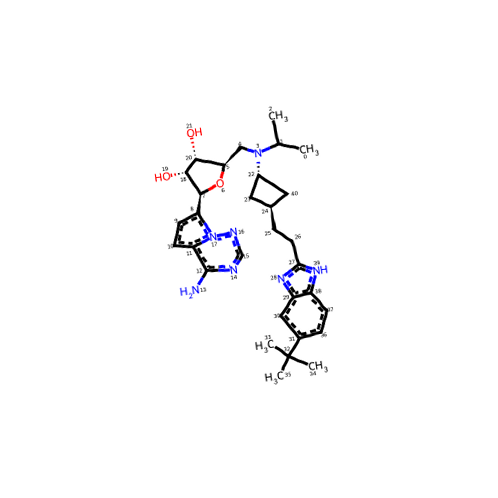 CC(C)N(C[C@H]1O[C@@H](c2ccc3c(N)ncnn23)[C@H](O)[C@@H]1O)[C@H]1C[C@H](CCc2nc3cc(C(C)(C)C)ccc3[nH]2)C1